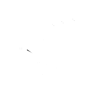 C[C@@H]1OC(C)(C)OC1C(=O)CN=[N+]=[N-]